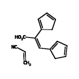 C=CC#N.O=C(O)C(=CC1=CC=CC1)C1=CC=CC1